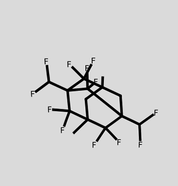 CC12CC3(C)C(F)(F)C(C(F)F)(C1)C(F)(F)C(C(F)F)(C2(F)F)C3(F)F